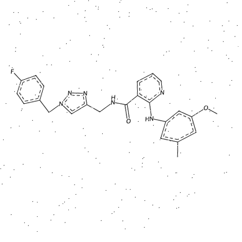 COc1cc(C)cc(Nc2ncccc2C(=O)NCc2cn(Cc3ccc(F)cc3)nn2)c1